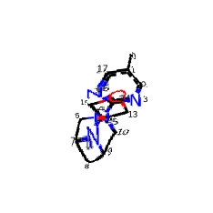 Cc1cnc(N2CC3CC(C2)N3C2COC2)nc1